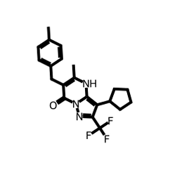 Cc1ccc(Cc2c(C)[nH]c3c(C4CCCC4)c(C(F)(F)F)nn3c2=O)cc1